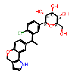 CC(c1ccc2c(c1)-c1[nH]ccc1CO2)c1cc([C@@H]2O[C@H](CO)[C@@H](O)[C@H](O)[C@H]2O)ccc1Cl